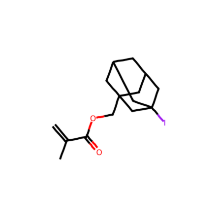 C=C(C)C(=O)OCC12CC3CC(CC(I)(C3)C1)C2